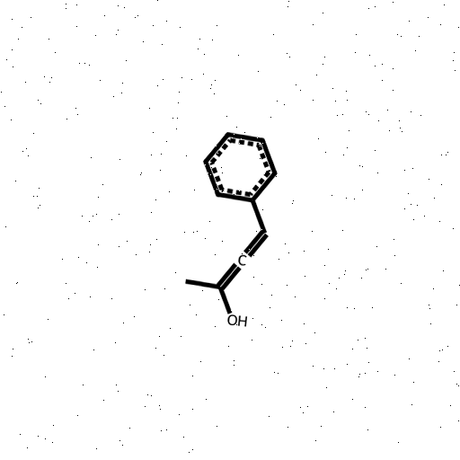 CC(O)=C=Cc1ccccc1